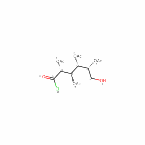 CC(=O)O[C@H]([C@H](OC(C)=O)[C@@H](CO)OC(C)=O)[C@@H](OC(C)=O)C(=O)Cl